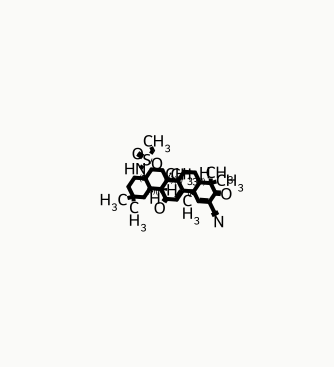 CCS(=O)(=O)N[C@]12CCC(C)(C)C[C@H]1[C@H]1C(=O)C=C3[C@@]4(C)C=C(C#N)C(=O)C(C)(C)[C@@H]4CC[C@@]3(C)[C@]1(C)CC2